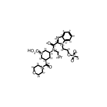 CC(C)CN(C(=O)c1nc2ccccc2n1CCOS(C)(=O)=O)[C@H]1C[C@@H](C(=O)N2CCOCC2)CN(C(=O)O)C1